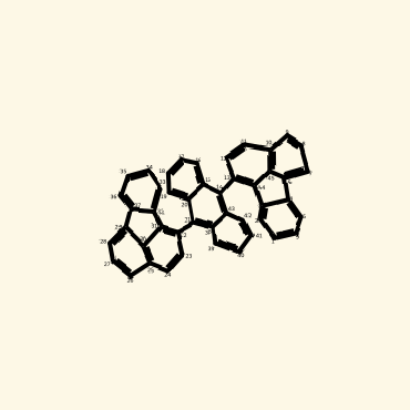 c1ccc2c(c1)-c1cccc3ccc(-c4c5ccccc5c(-c5ccc6cccc7c6c5-c5ccccc5-7)c5ccccc45)c-2c13